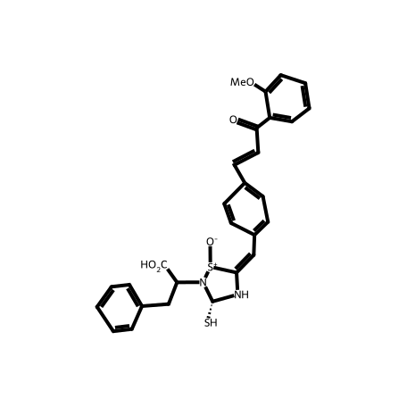 COc1ccccc1C(=O)/C=C/c1ccc(/C=C2/N[C@H](S)N(C(Cc3ccccc3)C(=O)O)[S+]2[O-])cc1